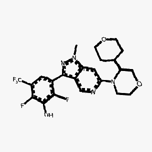 Cn1nc(-c2cc(C(F)(F)F)c(F)c(O)c2F)c2cnc(N3CCOCC3C3CCOCC3)cc21